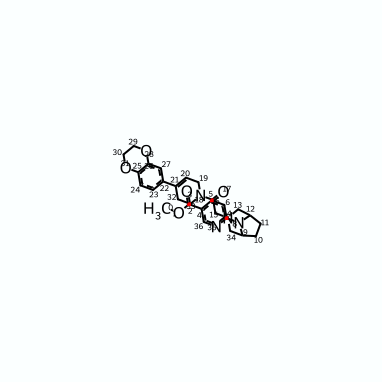 COC(=O)c1ccc(N2C3CCC2CN(CC(=O)N2CC=C(c4ccc5c(c4)OCCO5)CC2)C3)nc1